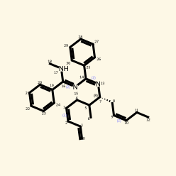 C=C/C=C\CC(C)[C@@H](C/C=C\CC)/N=C(\N=C(/NC)c1ccccc1)c1ccccc1